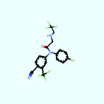 N#Cc1ccc(N(C(=O)CNCC(F)(F)F)c2ccc(F)cc2)cc1C(F)(F)F